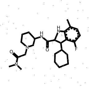 Cc1ccc(F)c2c1NC(C(=O)NC1CCCN(CC(=O)N(C)C)C1)C2C1CCCCC1